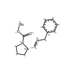 CC(C)(C)OC(=O)N1CCC[C@H]1/C=N/Cc1ccccc1